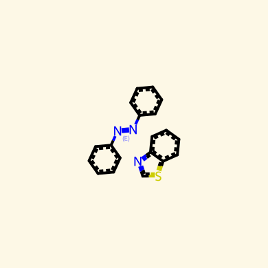 c1ccc(/N=N/c2ccccc2)cc1.c1ccc2scnc2c1